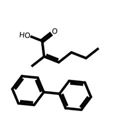 CCCC=C(C)C(=O)O.c1ccc(-c2ccccc2)cc1